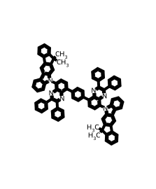 CC1(C)c2ccccc2-c2cc3c4ccccc4n(-c4ccc(-c5ccc(-c6ccc(-n7c8ccccc8c8cc9c(cc87)C(C)(C)c7ccccc7-9)c7nc(-c8ccccc8)c(-c8ccccc8)nc67)cc5)c5nc(-c6ccccc6)c(-c6ccccc6)nc45)c3cc21